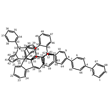 c1ccc(-c2ccc(-c3ccc(N(c4ccc5c(c4)C4(c6ccccc6-5)c5ccccc5N(c5ccccc5)c5ccccc54)c4ccccc4-c4ccccc4-c4ccccc4)cc3)cc2)cc1